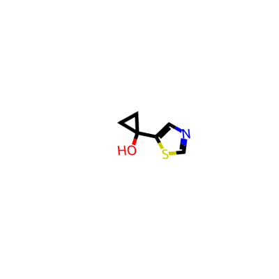 OC1(c2cncs2)CC1